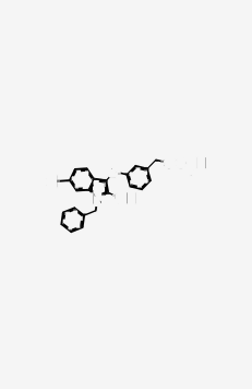 Cc1c(Sc2cccc(CC(=O)O)c2)c2ccc(Cl)cc2n1Cc1ccccc1